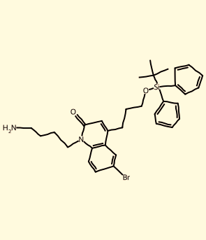 CC(C)(C)[Si](OCCCc1cc(=O)n(CCCCN)c2ccc(Br)cc12)(c1ccccc1)c1ccccc1